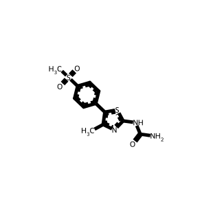 Cc1nc(NC(N)=O)sc1-c1ccc(S(C)(=O)=O)cc1